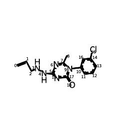 C=CCNNc1nc(C)n(-c2cccc(Cl)c2)c(=O)n1